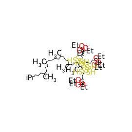 CCO[Si](CCCS(S)(SS)C(=CC=C(C)CCCC(C)CCCCC(C)CCCC(C)CCCC(C)C)C(C)=C(S(S)(CCC[Si](OCC)(OCC)OCC)SS)S(S)(CCC[Si](OCC)(OCC)OCC)SS)(OCC)OCC